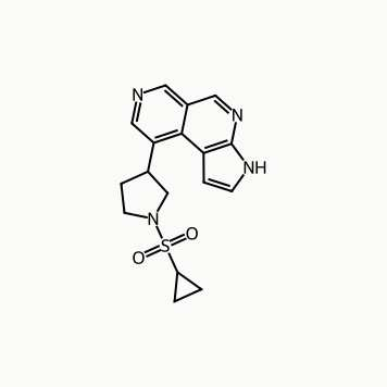 O=S(=O)(C1CC1)N1CCC(c2cncc3cnc4[nH]ccc4c23)C1